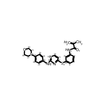 C=C(C)C(=O)Nc1cccc(Sc2ccnc(Nc3ccc(N4CCOCC4)cc3)n2)c1